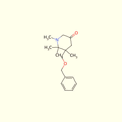 CN1CC(=O)CC(C)(COCc2ccccc2)C1(C)C